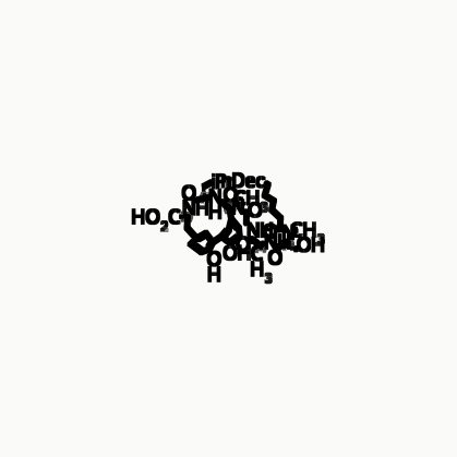 CCCCCCCCCCCCCCCC(=O)N(C)[C@H](CO)C(=O)N[C@H](C)C(=O)NCC(=O)N(C)[C@@H]1C(=O)N[C@@H](CC(C)C)C(=O)N[C@H](C(=O)O)Cc2ccc(O)c(c2)-c2cc1ccc2O